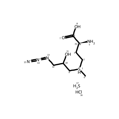 C[SH](CC[C@H](N)C(=O)O)CC(O)CN=[N+]=[N-].Cl.S